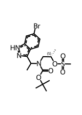 CC(c1n[nH]c2cc(Br)ccc12)N(C[C@H](C)OS(C)(=O)=O)C(=O)OC(C)(C)C